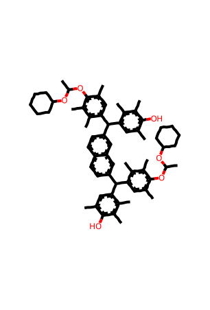 Cc1cc(C(c2ccc3ccc(C(c4cc(C)c(O)c(C)c4C)c4cc(C)c(OC(C)OC5CCCCC5)c(C)c4C)cc3c2)c2cc(C)c(OC(C)OC3CCCCC3)c(C)c2C)c(C)c(C)c1O